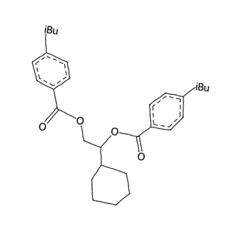 CCC(C)c1ccc(C(=O)OCC(OC(=O)c2ccc(C(C)CC)cc2)C2CCCCC2)cc1